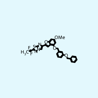 COc1cc(OCc2cccc(OCc3ccccc3)c2)c2cc(-c3cn4nc(C(C)(F)F)sc4n3)oc2c1